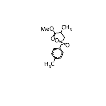 COC(=O)C(C)CS(=O)(=O)c1ccc(C)cc1